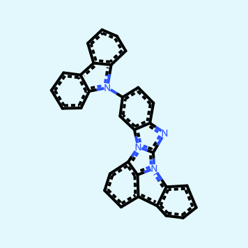 c1ccc2c(c1)c1ccccc1n2-c1ccc2nc3n(c2c1)c1cccc2c4ccccc4n3c21